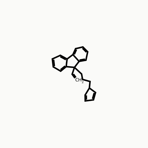 C=CC1(CCCC2C=CC=C2)c2ccccc2-c2ccccc21